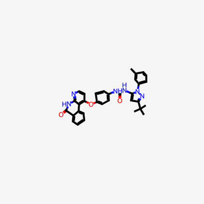 Cc1cccc(-n2nc(C(C)(C)C)cc2NC(=O)Nc2ccc(Oc3ccnc4[nH]c(=O)c5ccccc5c34)cc2)c1